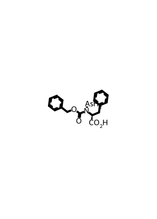 O=C(O)[C@H](Cc1ccccc1)N([AsH2])C(=O)OCc1ccccc1